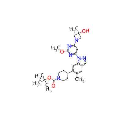 COc1nc(N2CC(C)(O)C2)cc(-n2ncc3cc(C)c(C4CCN(C(=O)OC(C)(C)C)CC4)cc32)n1